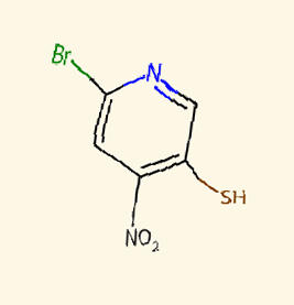 O=[N+]([O-])c1cc(Br)ncc1S